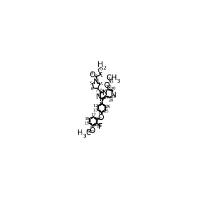 C=CC(=O)N1CCC(c2nc(-c3ccc(Oc4cccc(OC)c4F)cc3)c3cncc(OCC)n23)C1